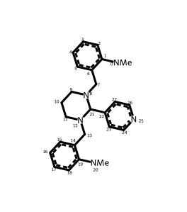 CNc1ccccc1CN1CCCN(Cc2ccccc2NC)C1c1ccncc1